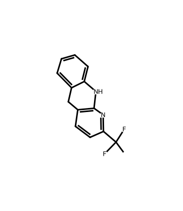 CC(F)(F)c1ccc2c(n1)Nc1ccccc1C2